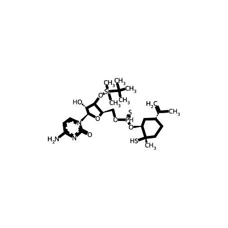 C=C(C)[C@@H]1CC[C@](C)(S)[C@@H](O[PH](=S)OC[C@H]2O[C@@H](n3ccc(N)nc3=O)[C@H](O)C2O[Si](C)(C)C(C)(C)C)C1